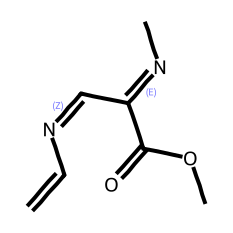 C=C/N=C\C(=N/C)C(=O)OC